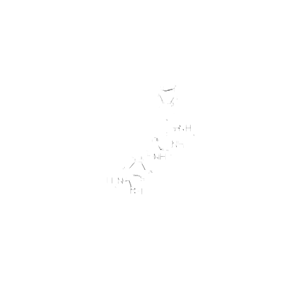 C[C@H](NC[C@H](N)CCc1ccccc1)C(=O)NCc1ccc(C(=N)N)cc1